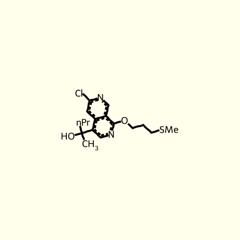 CCCC(C)(O)c1cnc(OCCCSC)c2cnc(Cl)cc12